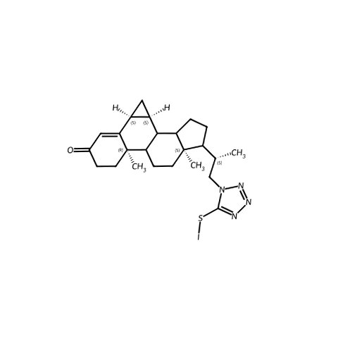 C[C@H](Cn1nnnc1SI)C1CCC2C3C(CC[C@@]21C)[C@@]1(C)CCC(=O)C=C1[C@H]1C[C@@H]31